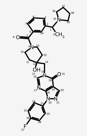 CC(c1cccc(C(=O)N2CCC(O)(Cn3cnc4c(cnn4-c4ccc(F)cc4)c3=O)CC2)c1)N1CCCC1